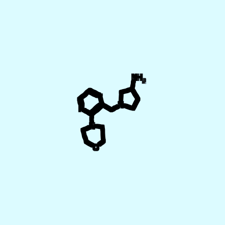 NC1CCN(Cc2[c]ccnc2N2CCOCC2)C1